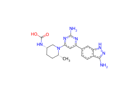 C[C@@H]1CC[C@H](NC(=O)O)CN1c1cc(-c2ccc3c(N)n[nH]c3c2)nc(N)n1